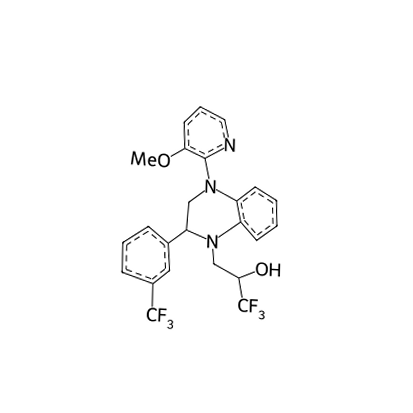 COc1cccnc1N1CC(c2cccc(C(F)(F)F)c2)N(CC(O)C(F)(F)F)c2ccccc21